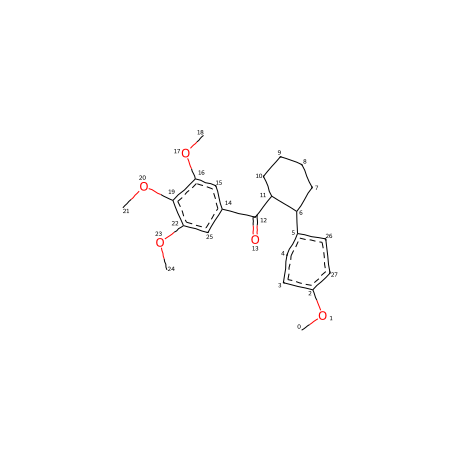 COc1ccc(C2CCCCC2C(=O)c2cc(OC)c(OC)c(OC)c2)cc1